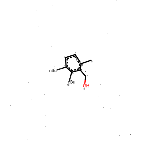 CCCCc1ccc(C)c(CO)c1CCCC